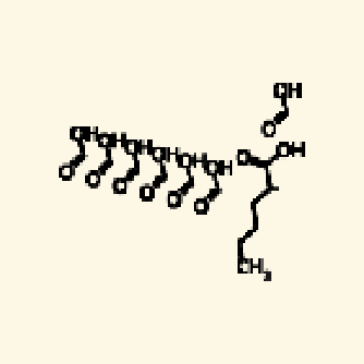 CCCC[CH]C(=O)O.O=CO.O=CO.O=CO.O=CO.O=CO.O=CO.O=CO